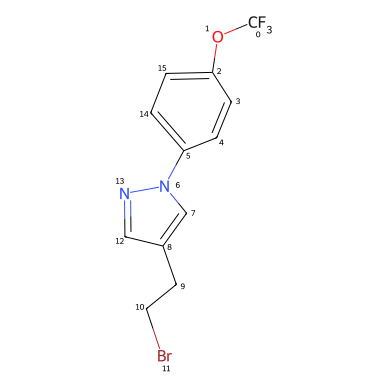 FC(F)(F)Oc1ccc(-n2cc(CCBr)cn2)cc1